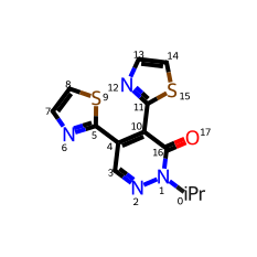 CC(C)n1ncc(-c2nccs2)c(-c2nccs2)c1=O